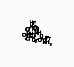 C=CC(=O)Nc1cccc(Nc2nc(Nc3ccc(Cl)c(OC(C)COC(=O)C(N)C(C)C)c3)ncc2F)c1